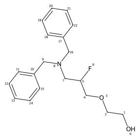 OCCOCC(F)CN(Cc1ccccc1)Cc1ccccc1